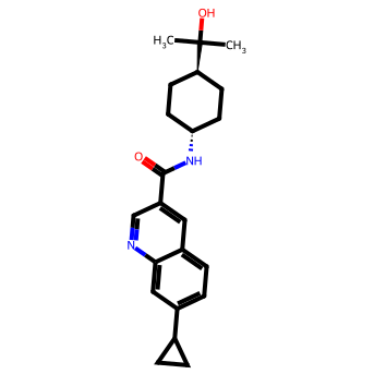 CC(C)(O)[C@H]1CC[C@H](NC(=O)c2cnc3cc(C4CC4)ccc3c2)CC1